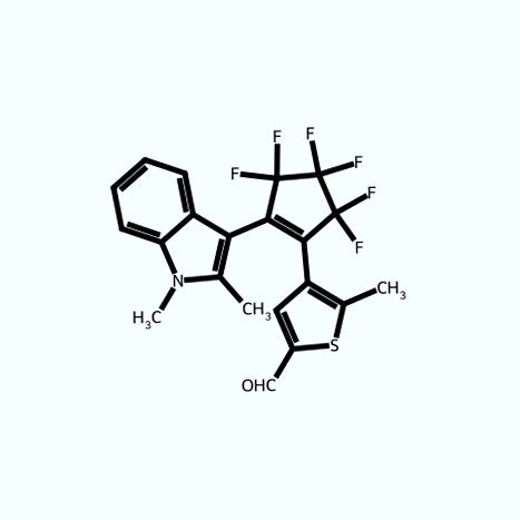 Cc1sc(C=O)cc1C1=C(c2c(C)n(C)c3ccccc23)C(F)(F)C(F)(F)C1(F)F